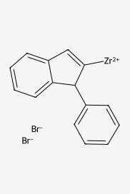 [Br-].[Br-].[Zr+2][C]1=Cc2ccccc2C1c1ccccc1